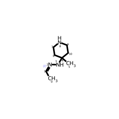 C/C=N\NC1(C)CCNCC1